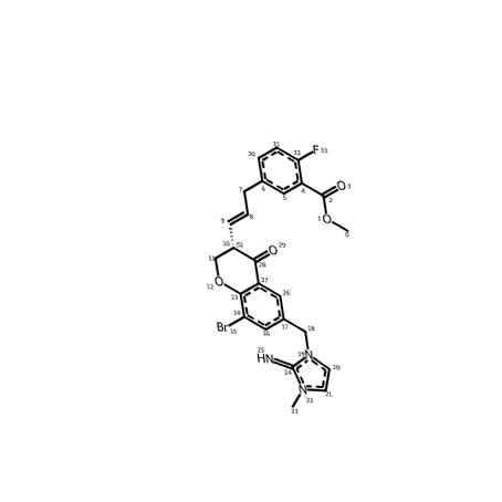 COC(=O)c1cc(CC=C[C@H]2COc3c(Br)cc(Cn4ccn(C)c4=N)cc3C2=O)ccc1F